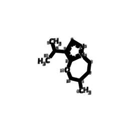 CC1CCn2ncc(C(C)C)c2OC1